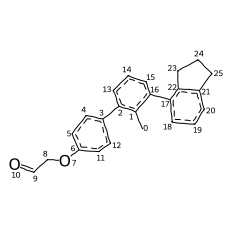 Cc1c(-c2ccc(OCC=O)cc2)cccc1-c1cccc2c1CCC2